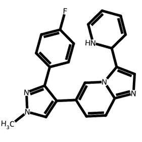 Cn1cc(-c2ccc3ncc(C4C=CC=CN4)n3c2)c(-c2ccc(F)cc2)n1